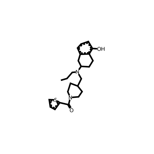 CCCN(CC1CCN(C(=O)c2cccs2)CC1)C1CCc2c(O)cccc2C1